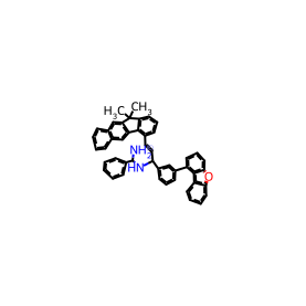 CC1(C)c2cc3ccccc3cc2-c2c(/C=C/C(NC(N)c3ccccc3)c3cccc(-c4cccc5oc6ccccc6c45)c3)cccc21